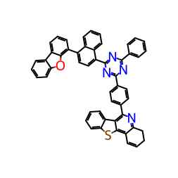 C1=Cc2c(nc(-c3ccc(-c4nc(-c5ccccc5)nc(-c5ccc(-c6cccc7c6oc6ccccc67)c6ccccc56)n4)cc3)c3c2sc2ccccc23)CC1